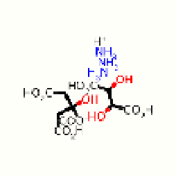 N.N.N.O=C(O)C(O)C(O)C(=O)O.O=C(O)CC(O)(CC(=O)O)C(=O)[O-].[H+]